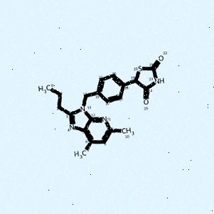 CCCc1nc2c(C)cc(C)nc2n1Cc1ccc(C2SC(=O)NC2=O)cc1